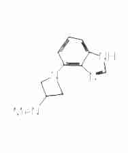 CNC1CN(c2cccc3[nH]cnc23)C1